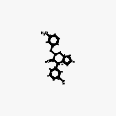 Cc1cccc(CN2Cc3cncn3C(c3cccc(Br)c3)C2=O)c1